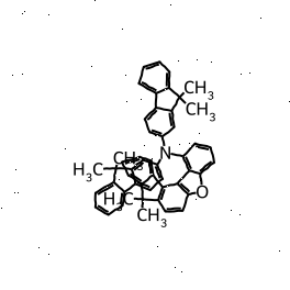 CC1(C)c2ccccc2-c2ccc(N(c3ccc4c(c3)C(C)(C)c3ccccc3-4)c3cccc4oc5ccc6c(c5c34)-c3ccccc3C6(C)C)cc21